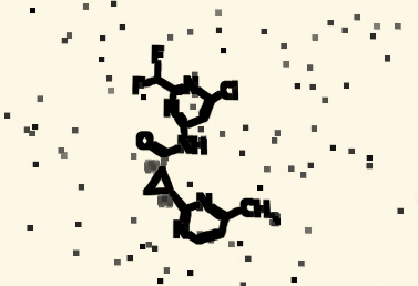 Cc1ccnc([C@H]2C[C@@H]2C(=O)Nc2cc(Cl)nc(C(F)F)n2)n1